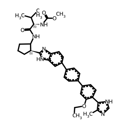 CCOc1cc(-c2ccc(-c3ccc4nc([C@H]5CCCC5NC(=O)[C@@H](NC(=O)OC)C(C)C)[nH]c4c3)cc2)ccc1-c1[nH]cnc1C